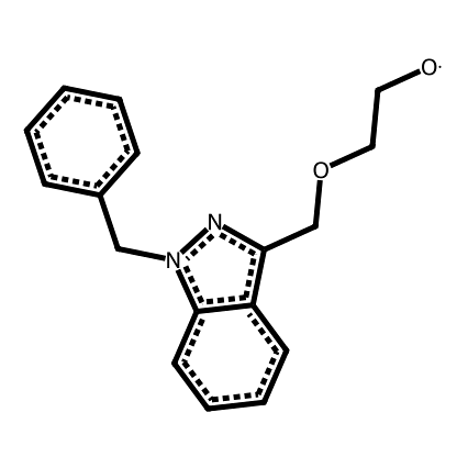 [O]CCOCc1nn(Cc2ccccc2)c2ccccc12